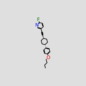 CCCCOc1ccc([C@H]2CC[C@H](C#Cc3ccc(F)nc3)CC2)cc1